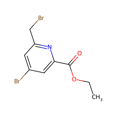 CCOC(=O)c1cc(Br)cc(CBr)n1